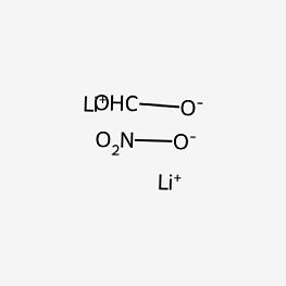 O=C[O-].O=[N+]([O-])[O-].[Li+].[Li+]